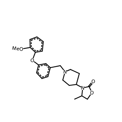 COc1ccccc1Oc1cccc(CN2CCC(N3C(=O)OCC3C)CC2)c1